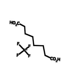 F[N+](F)(F)F.O=C(O)CCCCCCC(=O)O